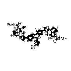 CCc1ccc(C2Oc3cc(-c4cnc([C@@H]5C[C@H]6C[C@H]6N5C(=O)[C@@H](NC(=O)OC)C(C)C)[nH]4)cc(F)c3-c3cc4cc(-c5cnc([C@@H]6C[C@H]7C[C@H]7N6C(=O)[C@@H](NC(=O)OC)C(C)C)[nH]5)ccc4n32)s1